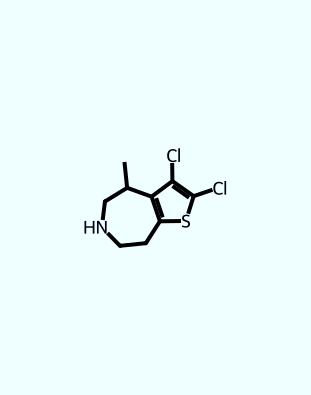 CC1CNCCc2sc(Cl)c(Cl)c21